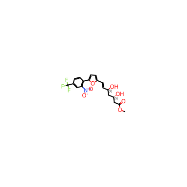 COC(=O)C[C@@H](O)C[C@H](O)C=Cc1ccc(-c2ccc(C(F)(F)F)cc2[N+](=O)[O-])o1